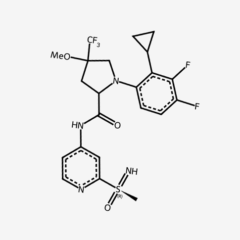 COC1(C(F)(F)F)CC(C(=O)Nc2ccnc([S@](C)(=N)=O)c2)N(c2ccc(F)c(F)c2C2CC2)C1